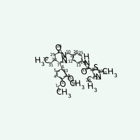 CCOc1ccc(C2=NN(Cc3ccc(NC(=O)c4sc(C)nc4C)cc3)C(=O)CC2CC)cc1OC